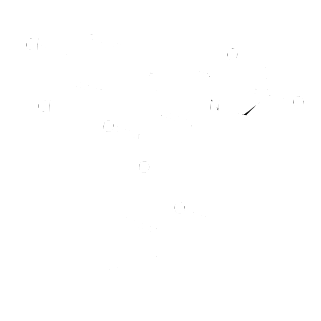 COc1ccccc1COC(=O)C1=C(C)N(C[C@H]2CCCO2)C(=O)C[C@H]1c1ccc(Cl)c(Cl)c1